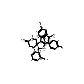 Cc1ccc(Oc2ccc(F)cc2[C@H]2NC(=O)C[C@@H](c3cccc(F)c3)[C@]23C(=O)Nc2cc(Cl)ccc23)cc1